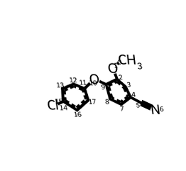 COc1cc(C#N)ccc1Oc1ccc(Cl)cc1